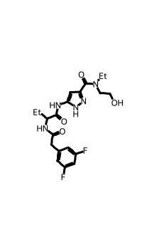 CCC(NC(=O)Cc1cc(F)cc(F)c1)C(=O)Nc1cc(C(=O)N(CC)CCO)n[nH]1